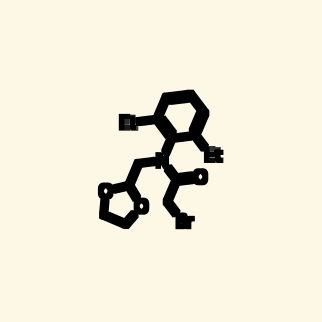 CCc1cccc(CC)c1N(CC1OCCO1)C(=O)CBr